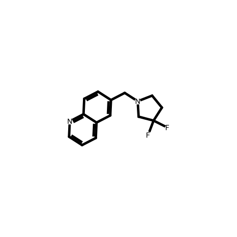 FC1(F)CCN(Cc2ccc3ncccc3c2)C1